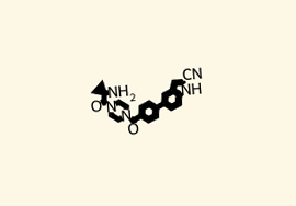 N#Cc1cc2cc(-c3ccc(C(=O)N4CCN(C(=O)C5(N)CC5)CC4)cc3)ccc2[nH]1